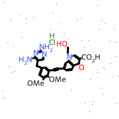 COc1cc(Cc2cnc(N)nc2N)cc(C#Cc2ccc3c(=O)c(C(=O)O)cn(CCO)c3c2)c1OC.Cl